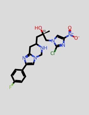 C[C@](O)(CC1Cc2nc(-c3ccc(F)cc3)cn2CN1)Cn1cc([N+](=O)[O-])nc1Cl